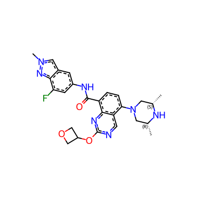 C[C@@H]1CN(c2ccc(C(=O)Nc3cc(F)c4nn(C)cc4c3)c3nc(OC4COC4)ncc23)C[C@H](C)N1